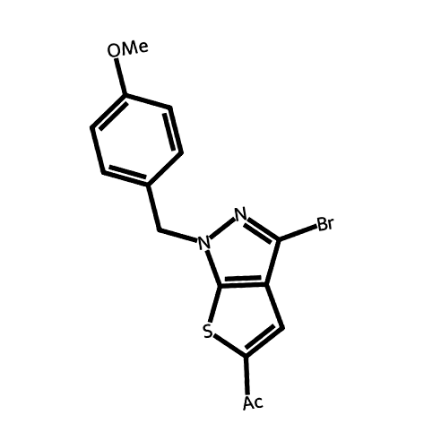 COc1ccc(Cn2nc(Br)c3cc(C(C)=O)sc32)cc1